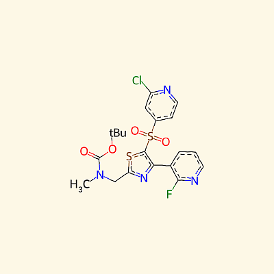 CN(Cc1nc(-c2cccnc2F)c(S(=O)(=O)c2ccnc(Cl)c2)s1)C(=O)OC(C)(C)C